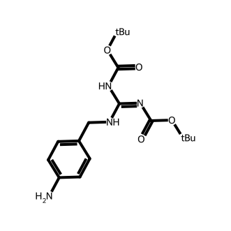 CC(C)(C)OC(=O)/N=C(\NCc1ccc(N)cc1)NC(=O)OC(C)(C)C